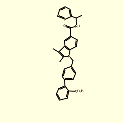 Cc1c(C)n(Cc2ccc(-c3ccccc3C(=O)O)cc2)c2ccc(C(=O)NC(C)c3ccccn3)cc12